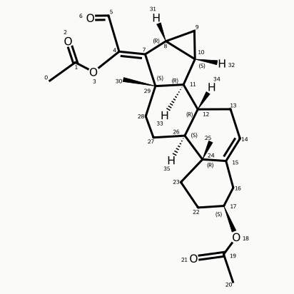 CC(=O)OC(C=O)=C1[C@@H]2C[C@@H]2[C@H]2[C@@H]3CC=C4C[C@@H](OC(C)=O)CC[C@]4(C)[C@H]3CC[C@]12C